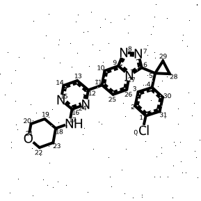 Clc1ccc(C2(c3nnc4cc(-c5ccnc(NC6CCOCC6)n5)ccn34)CC2)cc1